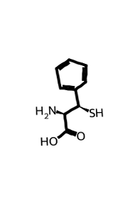 N[C@H](C(=O)O)[C@H](S)c1ccccc1